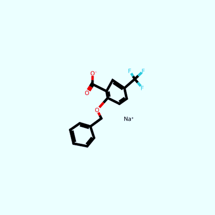 O=C([O-])c1cc(C(F)(F)F)ccc1OCc1ccccc1.[Na+]